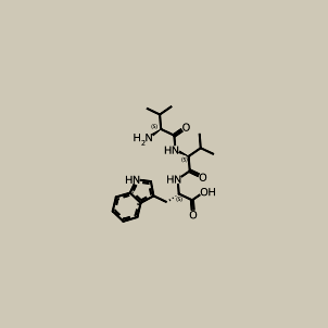 CC(C)[C@H](N)C(=O)N[C@H](C(=O)N[C@@H](Cc1c[nH]c2ccccc12)C(=O)O)C(C)C